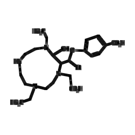 CCC(Oc1ccc(C(=O)O)cc1)C1C(O)N(CC(=O)O)CCNCCN(CC(=O)O)CCN1CC(=O)O